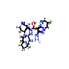 Nc1nn2cc(F)cnc2c1C(=O)Nc1cnccc1N1CCN2CCCC2C1